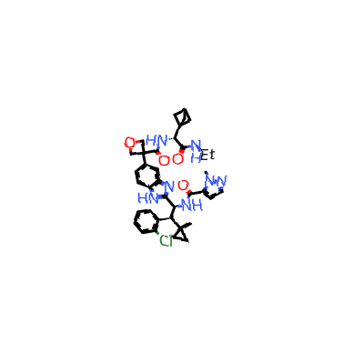 CCNC(=O)[C@H](NC(=O)C1(c2ccc3[nH]c([C@@H](NC(=O)c4ccnn4C)[C@H](c4ccccc4Cl)C4(C)CC4)nc3c2)COC1)C12CC(C1)C2